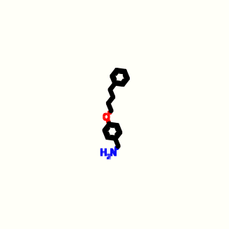 NCc1ccc(OCCCCc2ccccc2)cc1